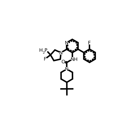 CC(C)(C)C1CCN(C(=O)Nc2c(-c3ccccc3F)ccnc2N2CCC(F)(P)C2)CC1